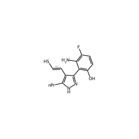 CCCc1[nH]nc(-c2c(O)ccc(F)c2N)c1/C=C/S